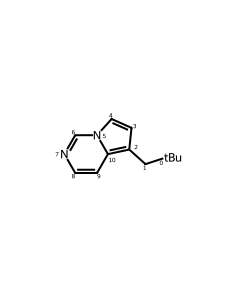 CC(C)(C)Cc1ccn2cnccc12